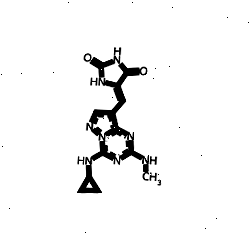 CNc1nc(NC2CC2)n2ncc(/C=C3\NC(=O)NC3=O)c2n1